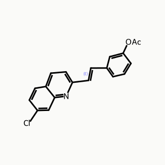 CC(=O)Oc1cccc(/C=C/c2ccc3ccc(Cl)cc3n2)c1